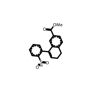 COC(=O)c1ccc2c(c1)C(c1ccccc1[SH](=O)=O)=CCC2